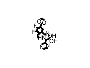 OCC(N/C(=N\O)c1cc(C2OCCO2)c(F)c(F)c1F)c1cnccn1